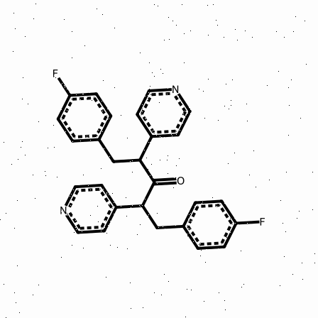 O=C(C(Cc1ccc(F)cc1)c1ccncc1)C(Cc1ccc(F)cc1)c1ccncc1